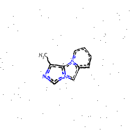 Cc1ncn2cc3ccccn3c12